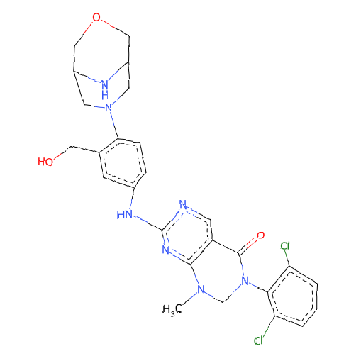 CN1CN(c2c(Cl)cccc2Cl)C(=O)c2cnc(Nc3ccc(N4CC5COCC(C4)N5)c(CO)c3)nc21